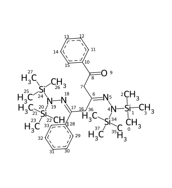 C[Si](C)(C)N(N=C(CC(=O)c1ccccc1)CC(=NN([Si](C)(C)C)[Si](C)(C)C)c1ccccc1)[Si](C)(C)C